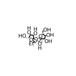 CCO[C@]1(CO[C@@]2(CO)O[C@@H](CO)[C@H](O)[C@H]2O)O[C@H](CO)[C@@H](O)[C@@H]1O